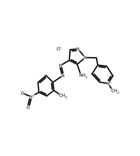 Cc1cc([N+](=O)[O-])ccc1N=Nc1cnn(Cc2cc[n+](C)cc2)c1N.[Cl-]